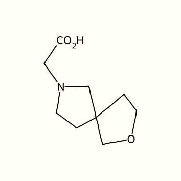 O=C(O)CN1CCC2(CCOC2)C1